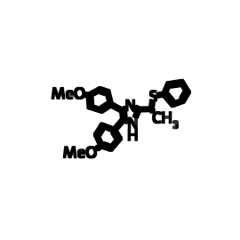 COc1ccc(-c2nc(C(C)Sc3ccccc3)[nH]c2-c2ccc(OC)cc2)cc1